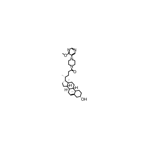 COc1ncncc1N1CCN(C(=O)CC[C@@H](C)[C@H]2CC[C@H]3[C@@H]4CC=C5C[C@@H](O)CC[C@]5(C)[C@H]4CC[C@]23C)CC1